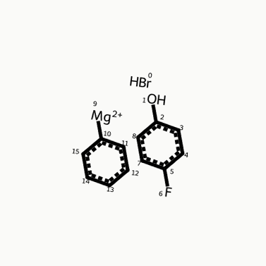 Br.Oc1ccc(F)cc1.[Mg+2][c]1ccccc1